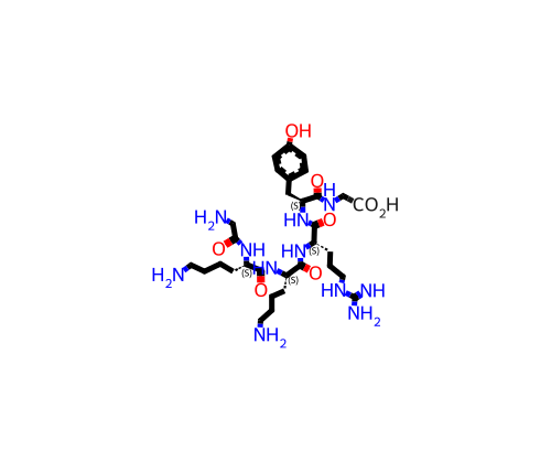 N=C(N)NCCC[C@H](NC(=O)[C@H](CCCCN)NC(=O)[C@H](CCCCN)NC(=O)CN)C(=O)N[C@@H](Cc1ccc(O)cc1)C(=O)NCC(=O)O